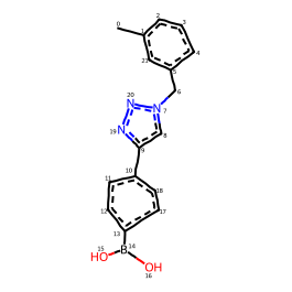 Cc1cccc(Cn2cc(-c3ccc(B(O)O)cc3)nn2)c1